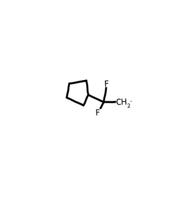 [CH2]C(F)(F)C1CCCC1